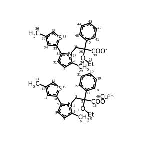 CCOC(Cn1c(C)ccc1-c1cc(C)cs1)(C(=O)[O-])c1ccccc1.CCOC(Cn1c(C)ccc1-c1cc(C)cs1)(C(=O)[O-])c1ccccc1.[Cu+2]